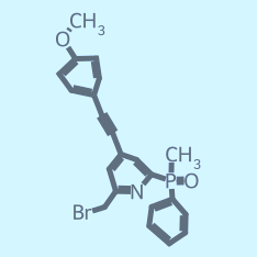 COc1ccc(C#Cc2cc(CBr)nc(P(C)(=O)c3ccccc3)c2)cc1